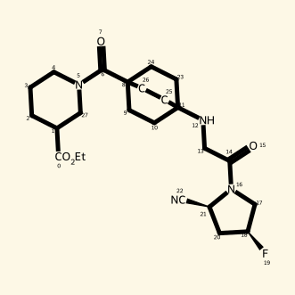 CCOC(=O)C1CCCN(C(=O)C23CCC(NCC(=O)N4C[C@@H](F)C[C@H]4C#N)(CC2)CC3)C1